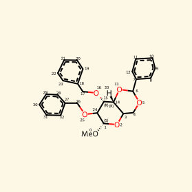 CO[C@H]1OC2COC(c3ccccc3)O[C@H]2[C@@H](OCc2ccccc2)C1OCc1ccccc1